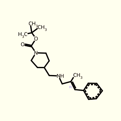 C/C(=C\c1ccccc1)CNCC1CCN(C(=O)OC(C)(C)C)CC1